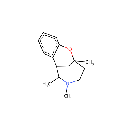 CC1C2CC(C)(CCN1C)Oc1ccccc12